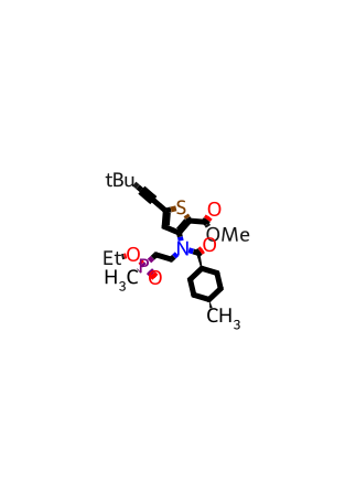 CCOP(C)(=O)CCN(c1cc(C#CC(C)(C)C)sc1C(=O)OC)C(=O)[C@H]1CC[C@H](C)CC1